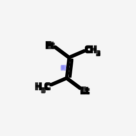 [CH2]C/C(C)=C(\C)CC